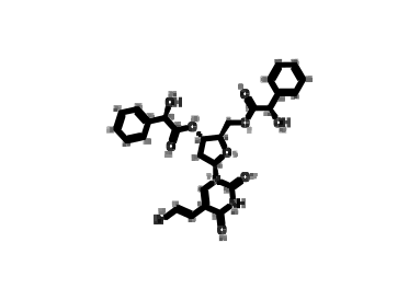 O=C(OC[C@H]1O[C@@H](n2cc(/C=C/Br)c(=O)[nH]c2=O)C[C@@H]1OC(=O)[C@H](O)c1ccccc1)[C@H](O)c1ccccc1